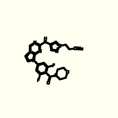 COCCn1cc(Nc2ncc3ccn(-c4cc(F)c(C(=O)N5CCOCC5)c(F)c4)c3n2)cn1